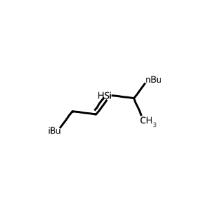 [CH2]CC(C)CC=[SiH]C(C)CCCC